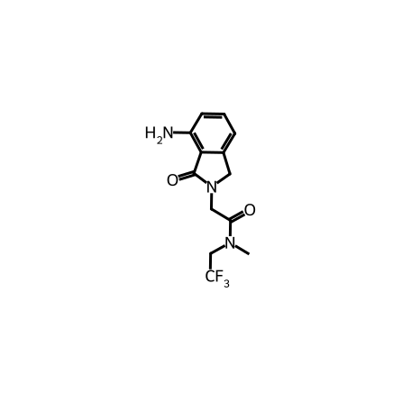 CN(CC(F)(F)F)C(=O)CN1Cc2cccc(N)c2C1=O